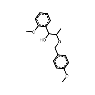 COc1ccc(COC(C)C(O)c2ccccc2OC)cc1